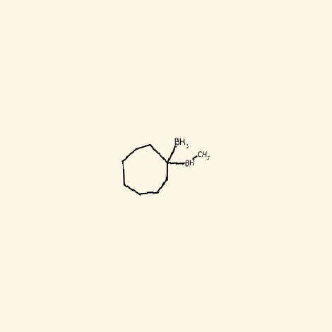 BC1(BC)CCCCCCC1